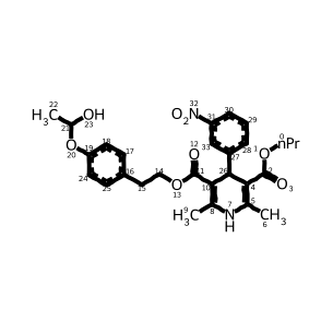 CCCOC(=O)C1=C(C)NC(C)=C(C(=O)OCCc2ccc(OC(C)O)cc2)C1c1cccc([N+](=O)[O-])c1